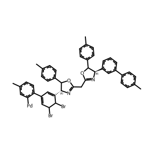 Cc1ccc(-c2cccc([C@H]3N=C(CC4=N[C@H](C5=CC(c6ccc(C)c[c]6[Pd])=CC(Br)C5Br)C(c5ccc(C)cc5)O4)OC3c3ccc(C)cc3)c2)cc1